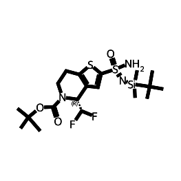 CC(C)(C)OC(=O)N1CCc2sc(S(N)(=O)=N[Si](C)(C)C(C)(C)C)cc2[C@@H]1C(F)F